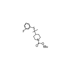 CC(C)(C)OC(=O)N1CCC(C(C)(C)Sc2cccc(F)c2)CC1